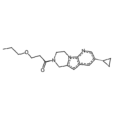 CCCOCCC(=O)N1CCn2c(cc3cc(C4CC4)cnc32)C1